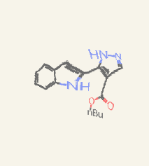 CCCCOC(=O)c1cn[nH]c1-c1cc2ccccc2[nH]1